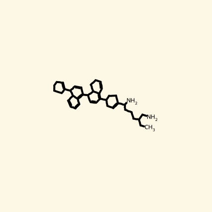 CCC(CN)CCCC(N)C1=CCC(C2=C3C=CCCC3C(C3=C4C=CC=CC4C(C4=CCCCC4)C=C3)C=C2)CC1